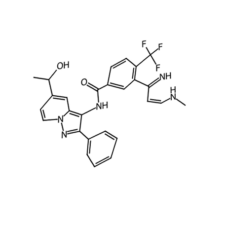 CN/C=C\C(=N)c1cc(C(=O)Nc2c(-c3ccccc3)nn3ccc(C(C)O)cc23)ccc1C(F)(F)F